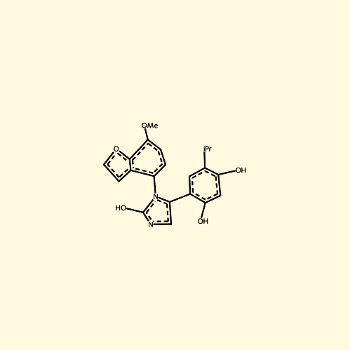 COc1ccc(-n2c(-c3cc(C(C)C)c(O)cc3O)cnc2O)c2ccoc12